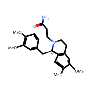 COc1ccc(C[C@@H]2c3cc(OC)c(OC)cc3CCN2CCC(N)=O)cc1OC